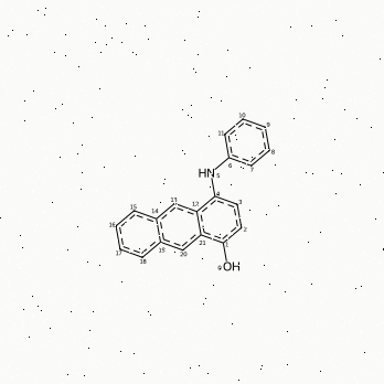 Oc1ccc(Nc2ccccc2)c2cc3ccccc3cc12